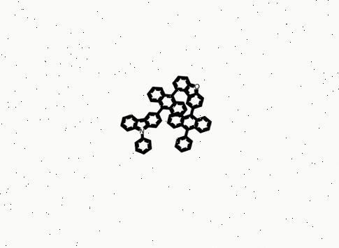 c1ccc(-c2c3ccccc3c(-c3ccc4oc5cccc(-c6c7ccccc7c(-c7ccc8c(c7)c7ccccc7n8-c7ccccc7)c7ccccc67)c5c4c3)c3ccccc23)cc1